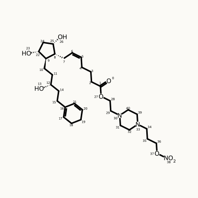 O=C(CCC/C=C\C[C@@H]1[C@@H](CC[C@@H](O)CCC2=CCCC=C2)[C@H](O)C[C@@H]1O)OCCN1CCN(CCCO[N+](=O)[O-])CC1